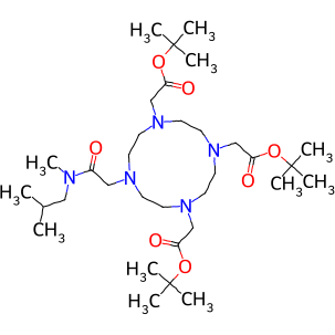 CC(C)CN(C)C(=O)CN1CCN(CC(=O)OC(C)(C)C)CCN(CC(=O)OC(C)(C)C)CCN(CC(=O)OC(C)(C)C)CC1